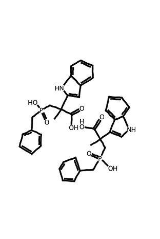 CC(CP(=O)(O)Cc1ccccc1)(C(=O)O)c1c[nH]c2ccccc12.CC(CP(=O)(O)Cc1ccccc1)(C(=O)O)c1cc2ccccc2[nH]1